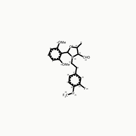 COc1cccc(OC)c1C1OC(C)C(C=O)N1CCc1ccc(OC(F)(F)F)c(F)c1